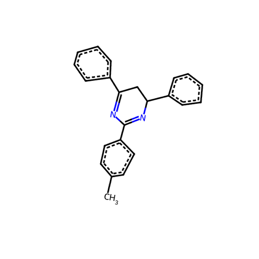 Cc1ccc(C2=NC(c3ccccc3)CC(c3ccccc3)=N2)cc1